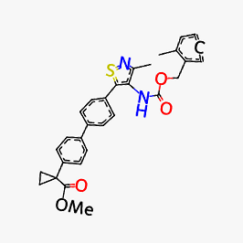 COC(=O)C1(c2ccc(-c3ccc(-c4snc(C)c4NC(=O)OCc4ccccc4C)cc3)cc2)CC1